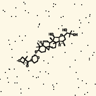 C[C@@H]1CC([C@H](O)C(C)(C)O)OC2[C@H]1C1(C)CCC34CC35CCC(O[C@H]3CN(C(=O)C6(C)COC6)CCO3)C(C)(C)[C@@H]5CCC4[C@]1(C)[C@H]2O